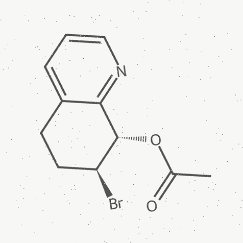 CC(=O)O[C@H]1c2ncccc2CC[C@@H]1Br